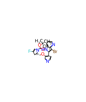 CC(C)(C)OC(=O)N1C=C(F)C[C@H]1COc1cnccc1-c1[nH]c2cccnc2c1Br